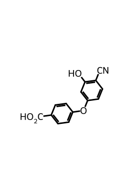 N#Cc1ccc(Oc2ccc(C(=O)O)cc2)cc1O